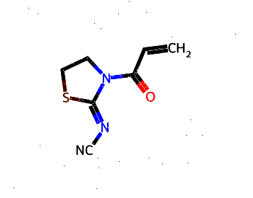 C=CC(=O)N1CCSC1=NC#N